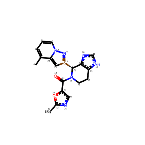 CC1=CC=CN2N=S([C@H]3c4nc[nH]c4CCN3C(=O)c3cnc(C(C)(C)C)o3)C=C12